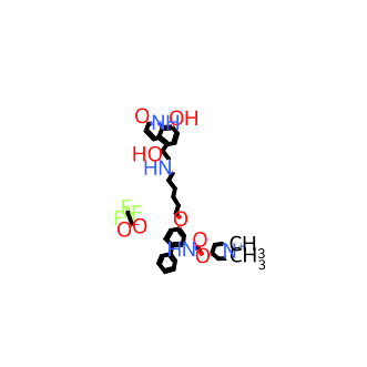 C[N+]1(C)CCC(OC(=O)Nc2cc(OCCCCCCNC[C@H](O)c3ccc(O)c4[nH]c(=O)ccc34)ccc2-c2ccccc2)CC1.O=C([O-])C(F)(F)F